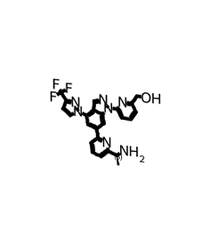 C[C@H](N)c1cccc(-c2cc(-n3ccc(C(F)(F)F)n3)c3cnn(-c4cccc(CO)n4)c3c2)n1